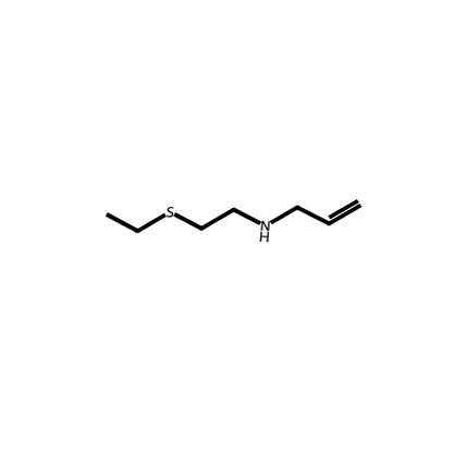 C=CCNCCSCC